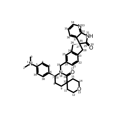 CN(C)c1ccc([C@@H]2CCC3(CCOCC3)C(=O)N2Cc2ccc3c(c2)C[C@@]2(C3)C(=O)Nc3ncccc32)cc1